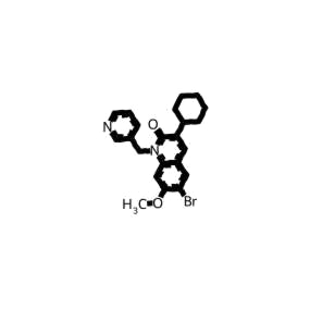 COc1cc2c(cc1Br)cc(C1CCCCC1)c(=O)n2Cc1cccnc1